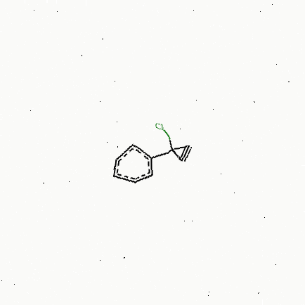 ClC1(c2ccccc2)C#C1